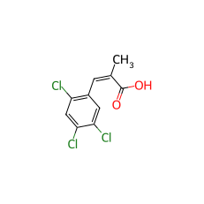 CC(=Cc1cc(Cl)c(Cl)cc1Cl)C(=O)O